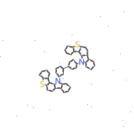 c1cc(-c2ccc(-n3c4ccccc4c4ccc5sc6ccccc6c5c43)cc2)cc(-n2c3ccccc3c3ccc4sc5ccccc5c4c32)c1